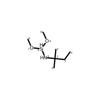 CCC(C)(C)N[SiH](OC)OC